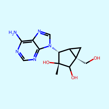 C[C@]1(O)C(O)[C@]2(CO)CC2[C@H]1n1cnc2c(N)ncnc21